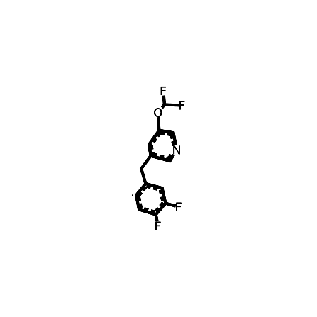 Fc1c[c]c(Cc2cncc(OC(F)F)c2)cc1F